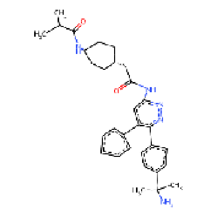 CC(C)C(=O)N[C@H]1CC[C@H](CC(=O)Nc2cc(-c3ccccc3)c(-c3ccc(C(C)(C)N)cc3)nn2)CC1